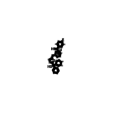 O[C@](c1ccccc1)(c1ncc(C[N+]23CCC(CC2)[C@@H](C(S)c2ccc(F)cc2)C3)o1)C1CCCCC1